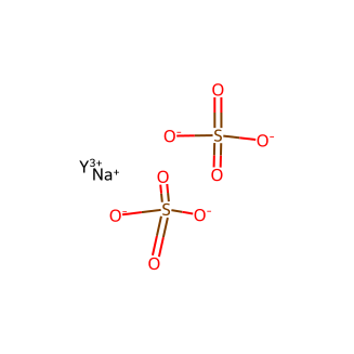 O=S(=O)([O-])[O-].O=S(=O)([O-])[O-].[Na+].[Y+3]